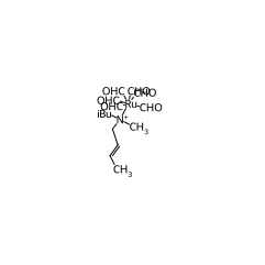 CC=CC[N+](C)(C(C)CC)[Ru]([CH]=O)([CH]=O)([CH]=O)([CH]=O)([CH]=O)[CH]=O